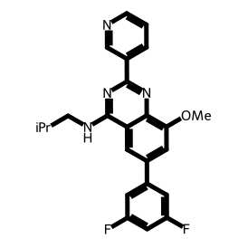 COc1cc(-c2cc(F)cc(F)c2)cc2c(NCC(C)C)nc(-c3cccnc3)nc12